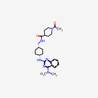 CC(=O)N1CCC(C(=O)NC[C@H]2CC[C@@H](Nc3nc(N(C)C)c4ccccc4n3)CC2)CC1